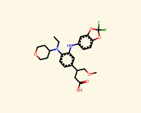 CCN(c1ccc(C(COC)CC(=O)O)cc1Nc1ccc2c(c1)OC(F)(F)O2)C1CCOCC1